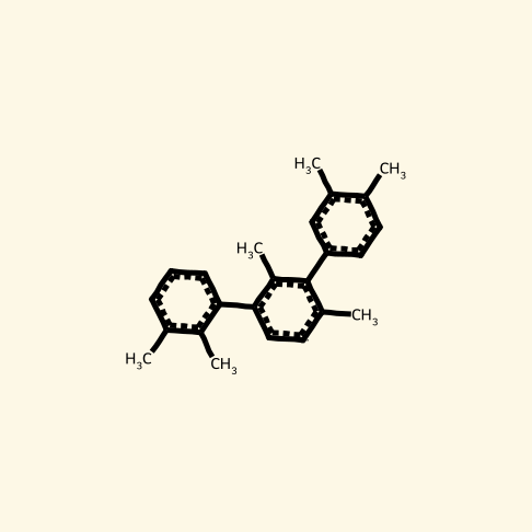 Cc1[c]cc(-c2cccc(C)c2C)c(C)c1-c1ccc(C)c(C)c1